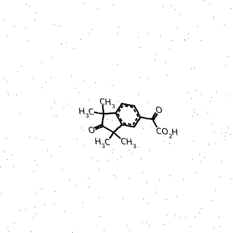 CC1(C)C(=O)C(C)(C)c2cc(C(=O)C(=O)O)ccc21